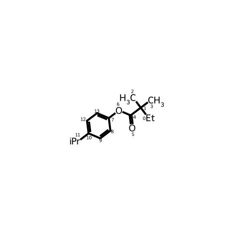 CCC(C)(C)C(=O)Oc1ccc(C(C)C)cc1